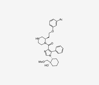 COC[C@]1(O)CCCC[C@H]1n1cnc(C(=O)N2CCNC[C@H]2CCOc2cccc(C(C)=O)c2)c1-c1ccccc1